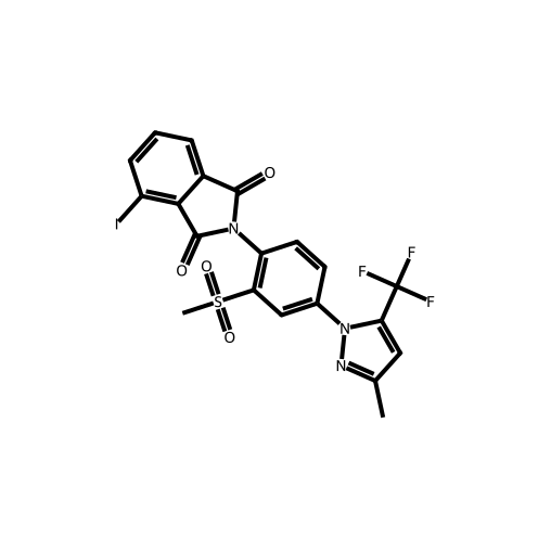 Cc1cc(C(F)(F)F)n(-c2ccc(N3C(=O)c4cccc(I)c4C3=O)c(S(C)(=O)=O)c2)n1